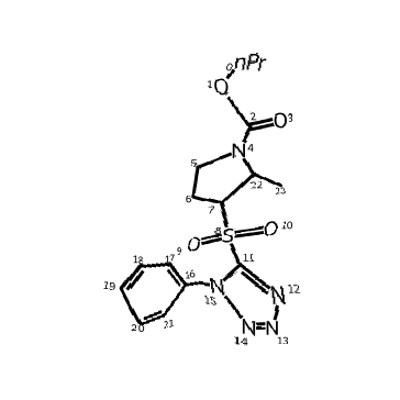 CCCOC(=O)N1CCC(S(=O)(=O)c2nnnn2-c2ccccc2)C1C